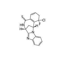 FC1(Cl)CC=CC2=C1[C@H]1C[C@@H](NC2=S)c2nc3ccccc3n21